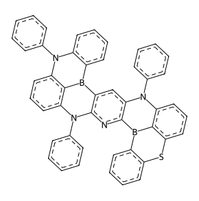 c1ccc(N2c3cc4c(nc3B3c5ccccc5Sc5cccc2c53)N(c2ccccc2)c2cccc3c2B4c2ccccc2N3c2ccccc2)cc1